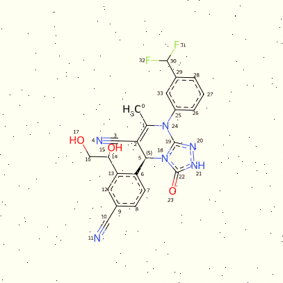 CC1=C(C#N)[C@H](c2ccc(C#N)cc2C(O)CO)n2c(n[nH]c2=O)N1c1cccc(C(F)F)c1